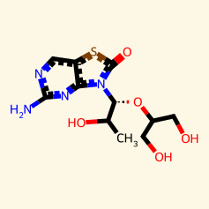 CC(O)[C@@H](OC(CO)CO)n1c(=O)sc2cnc(N)nc21